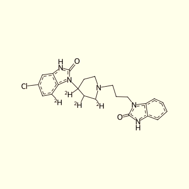 [2H]c1cc(Cl)cc2[nH]c(=O)n(C3([2H])CCN(CCCn4c(=O)[nH]c5ccccc54)C([2H])C3[2H])c12